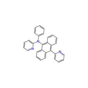 c1ccc(N(c2ccccn2)c2c3ccccc3c(-c3ccccn3)c3ccccc23)cc1